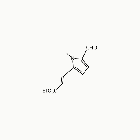 CCOC(=O)/C=C/c1ccc(C=O)n1C